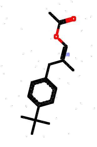 CC(=O)O/C=C(/C)Cc1ccc(C(C)(C)C)cc1